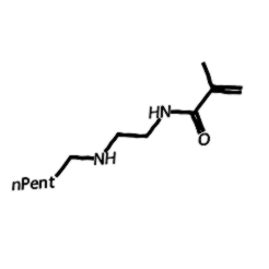 C=C(C)C(=O)NCCNCCCCCC